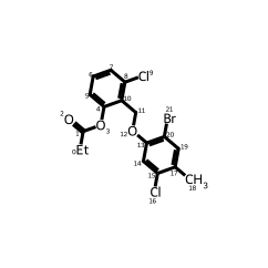 CCC(=O)Oc1cccc(Cl)c1COc1cc(Cl)c(C)cc1Br